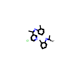 CC(=Nc1ccccc1C)c1cccnc1.C[C]([Fe+])=Nc1ccccc1C.[Cl-]